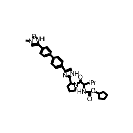 CC(C)C(NC(=O)OC1CCCC1)C(=O)N1CCCC1c1nc(-c2ccc(-c3ccc(C4=CN(C)ON4)cc3)cc2)c[nH]1